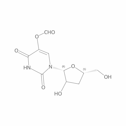 O=COc1cn([C@@H]2O[C@H](CO)CC2O)c(=O)[nH]c1=O